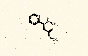 CNC(CC(=O)OC)c1ccccn1